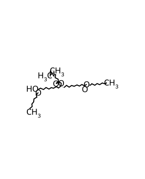 CCCCCCCCOC(=O)CCCCCCCC[C@H](CCCCCCCCC(O)OCCCCCCCC)OC(=O)CCCN(C)C